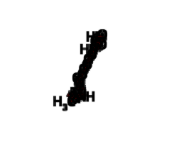 COc1cccc(F)c1-c1ncc2[nH]nc(-c3ccc(N4CCN(C(=O)CCOCCOCCOCCOCCOCCNc5ccc6c(c5)C(=O)N(C5CCC(=O)NC5=O)C6=O)CC4)cc3)c2n1